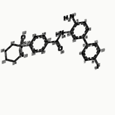 Nc1ccc(-c2ccc(F)cc2)cc1NC(=O)c1ccc(S2(=O)=NCCCC2)cc1